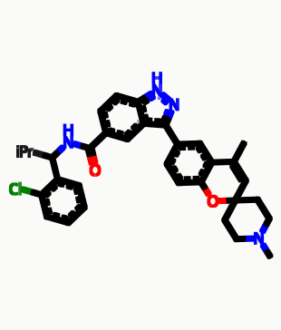 CC1=CC2(CCN(C)CC2)Oc2ccc(-c3n[nH]c4ccc(C(=O)NC(c5ccccc5Cl)C(C)C)cc34)cc21